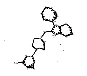 FC(F)(F)c1cccc(C2CCN(Cc3[nH]c4ccccc4c3-c3ccccc3)CC2)c1